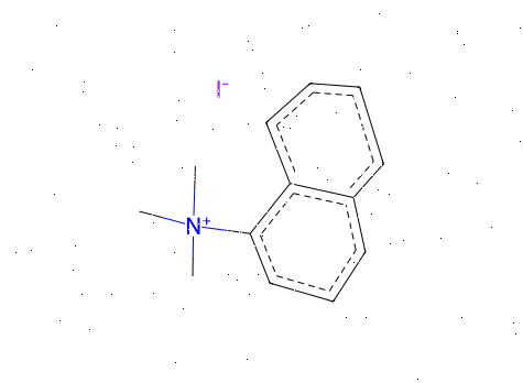 C[N+](C)(C)c1cccc2ccccc12.[I-]